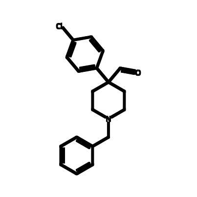 O=CC1(c2ccc(Cl)cc2)CCN(Cc2ccccc2)CC1